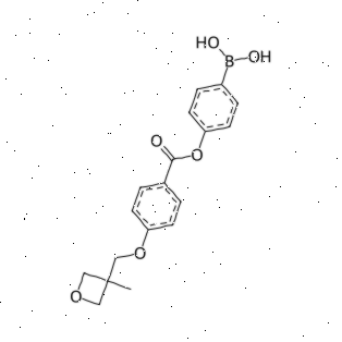 CC1(COc2ccc(C(=O)Oc3ccc(B(O)O)cc3)cc2)COC1